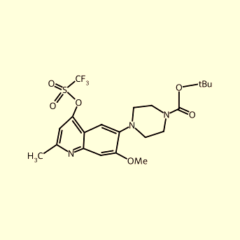 COc1cc2nc(C)cc(OS(=O)(=O)C(F)(F)F)c2cc1N1CCN(C(=O)OC(C)(C)C)CC1